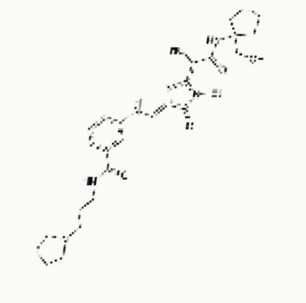 CCn1c(=C(C#N)C(=O)NC2(CO)CCCC2)sc(=CNc2cccc(C(=O)NCCCN3CCCC3)c2)c1=O